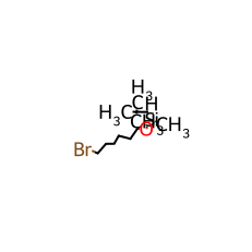 C[SiH](CC(C)(C)C)OCCCCCCBr